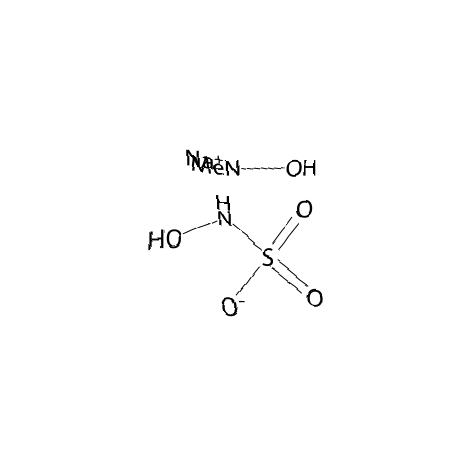 CNO.O=S(=O)([O-])NO.[Na+]